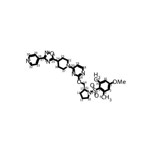 COc1cc(C)c(S(=O)(=O)N2CCC[C@H]2COc2nccc(N3CCC(c4nc(-c5ccncc5)no4)CC3)n2)c(C)c1